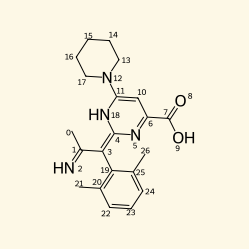 CC(=N)/C(=C1/N=C(C(=O)O)C=C(N2CCCCC2)N1)c1c(C)cccc1C